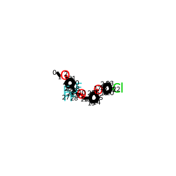 CCOc1ccc(C(F)(COCc2cccc(Oc3ccc(Cl)cc3)c2)C(F)(F)F)cc1